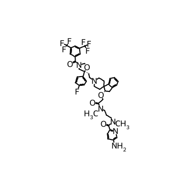 CN(CCCN(C)C(=O)c1ccc(N)cn1)C(=O)CO[C@H]1Cc2ccccc2C12CCN(CC[C@]1(c3ccc(F)cc3)CN(C(=O)c3cc(C(F)(F)F)cc(C(F)(F)F)c3)CO1)CC2